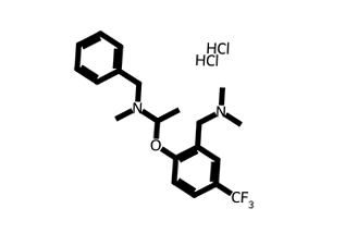 CC(Oc1ccc(C(F)(F)F)cc1CN(C)C)N(C)Cc1ccccc1.Cl.Cl